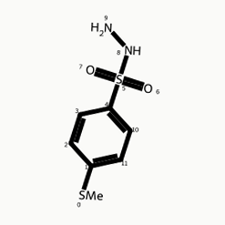 CSc1ccc(S(=O)(=O)NN)cc1